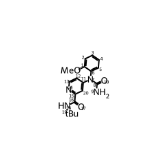 COc1ccccc1N(C(N)=O)c1ccnc(C(=O)NC(C)(C)C)c1